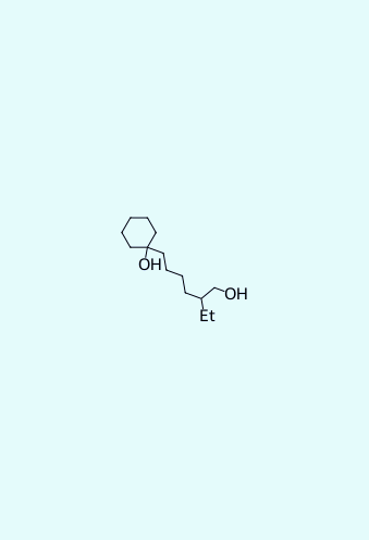 CCC(CO)CCCCC1(O)CCCCC1